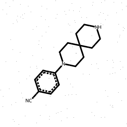 N#Cc1ccc(N2CCC3(CCNCC3)CC2)cc1